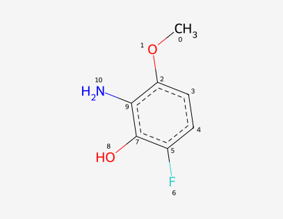 COc1ccc(F)c(O)c1N